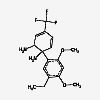 CCc1cc(C2(N)C=CC(C(F)(F)F)=CC2N)c(OC)cc1OC